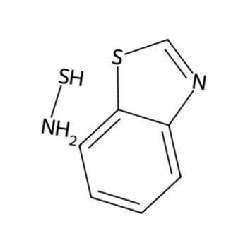 NS.c1ccc2scnc2c1